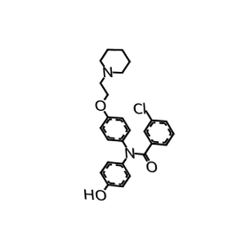 O=C(c1cccc(Cl)c1)N(c1ccc(O)cc1)c1ccc(OCCN2CCCCC2)cc1